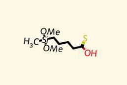 CO[Si](C)(CCCCC(O)=S)OC